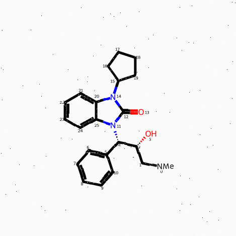 CNC[C@@H](O)[C@H](c1ccccc1)n1c(=O)n(C2CCCC2)c2ccccc21